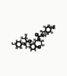 Cc1ccc(N(Cc2ccc3c(c2)CN(C(=O)NCc2ccc(F)cc2)CCO3)C(=O)C(C)C)cc1